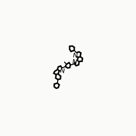 Cc1cc(-c2ccc3ccc4ccc(-c5ccccc5)nc4c3n2)ccc1-c1ccc2ccc3cc(-c4ccccc4)ccc3c2n1